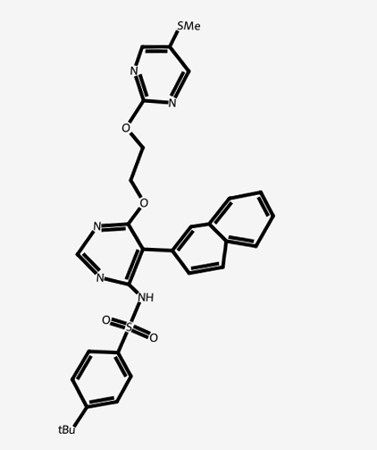 CSc1cnc(OCCOc2ncnc(NS(=O)(=O)c3ccc(C(C)(C)C)cc3)c2-c2ccc3ccccc3c2)nc1